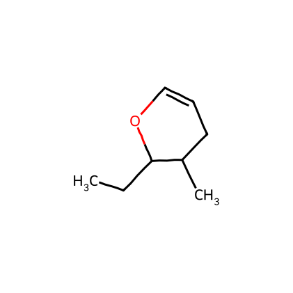 CCC1OC=CCC1C